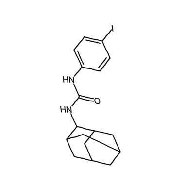 O=C(Nc1ccc(I)cc1)NC1C2CC3CC(C2)CC1C3